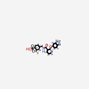 CC(C)(O)[C@H]1CC=C(CNC(=O)c2cccnc2Oc2ccc3nsnc3c2)CC1